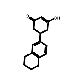 O=C1C=C(O)CC(c2ccc3c(c2)CCCC3)C1